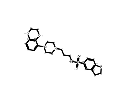 O=S(=O)(NCCCN1CCN(c2cccc3c2OCCO3)CC1)c1ccc2c(c1)CCO2